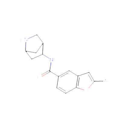 CC(=O)c1cc2cc(C(=O)NC3CC4CC3CN4)ccc2o1